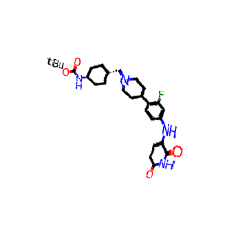 CC(C)(C)OC(=O)N[C@H]1CC[C@H](CN2CCC(c3ccc(NC4CCC(=O)NC4=O)cc3F)CC2)CC1